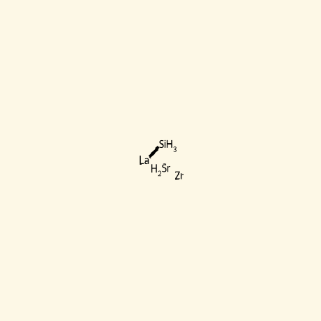 [SiH3][La].[SrH2].[Zr]